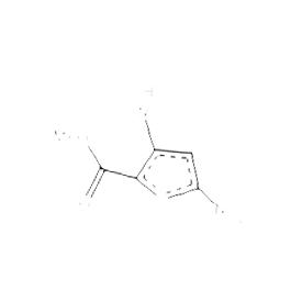 COC(=O)c1sc([N+](=O)[O-])cc1N.Cl